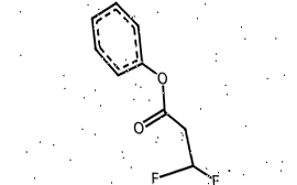 O=C(CC(F)F)Oc1ccccc1